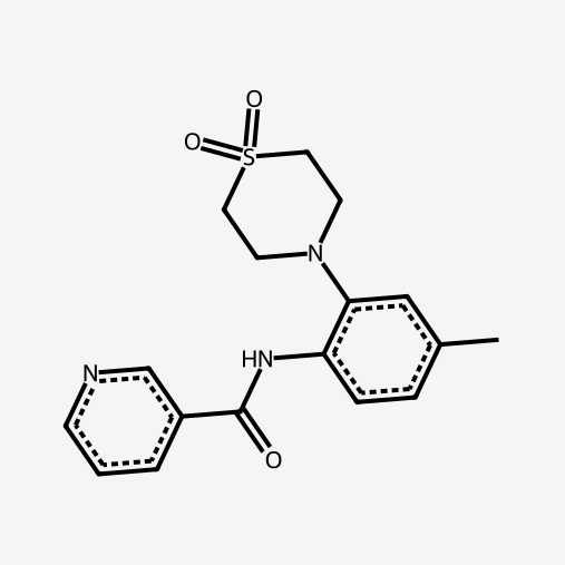 Cc1ccc(NC(=O)c2cccnc2)c(N2CCS(=O)(=O)CC2)c1